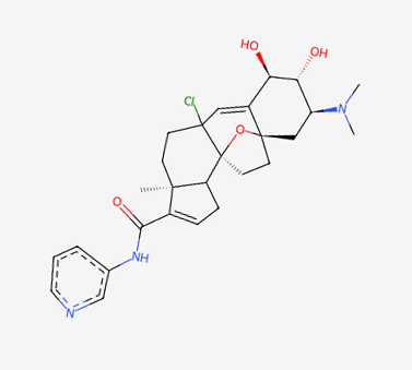 CN(C)[C@H]1C[C@@]23CC[C@]4(O2)C2CC=C(C(=O)Nc5cccnc5)[C@@]2(C)CCC4(Cl)C=C3[C@@H](O)[C@@H]1O